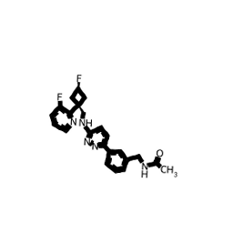 CC(=O)NCc1cccc(-c2ccc(NC[C@]3(c4ncccc4F)C[C@H](F)C3)nn2)c1